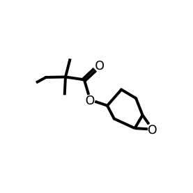 CCC(C)(C)C(=O)OC1CCC2OC2C1